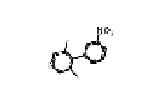 Cc1cncc(C)c1-c1cccc([N+](=O)[O-])c1